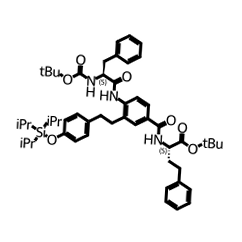 CC(C)[Si](Oc1ccc(CCc2cc(C(=O)N[C@@H](CCc3ccccc3)C(=O)OC(C)(C)C)ccc2NC(=O)[C@H](Cc2ccccc2)NC(=O)OC(C)(C)C)cc1)(C(C)C)C(C)C